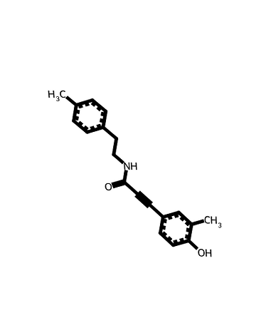 Cc1ccc(CCNC(=O)C#Cc2ccc(O)c(C)c2)cc1